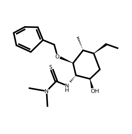 CC[C@H]1C[C@@H](O)[C@H](NC(=S)N(C)C)[C@@H](OCc2ccccc2)[C@@H]1C